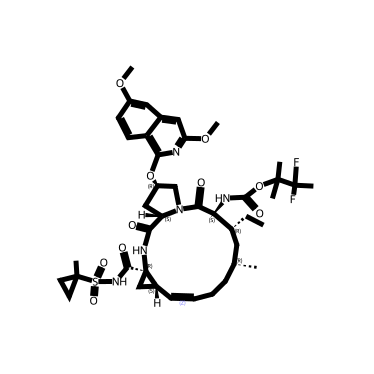 CC[C@@H]1C[C@H](C)CC/C=C\[C@@H]2C[C@@]2(C(=O)NS(=O)(=O)C2(C)CC2)NC(=O)[C@@H]2C[C@@H](Oc3nc(OC)cc4cc(OC)ccc34)CN2C(=O)[C@H]1NC(=O)OC(C)(C)C(C)(F)F